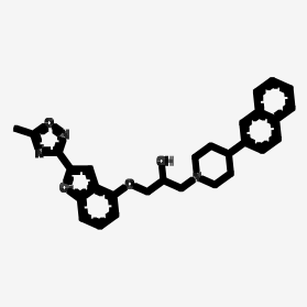 Cc1nc(-c2cc3c(OCC(O)CN4CCC(c5ccc6ccccc6c5)CC4)cccc3o2)no1